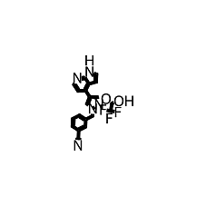 N#Cc1cccc(Cn2cc(-c3ccnc4[nH]ccc34)cn2)c1.O=C(O)C(F)(F)F